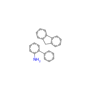 Nc1ccccc1-c1ccccc1.c1ccc2c(c1)Cc1ccccc1-2